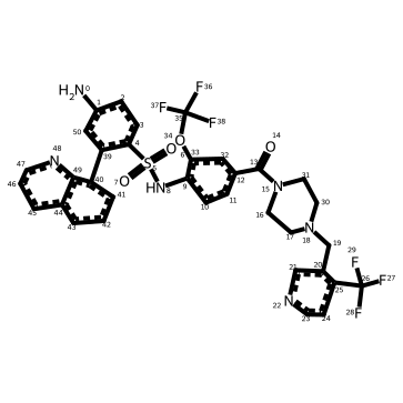 Nc1ccc(S(=O)(=O)Nc2ccc(C(=O)N3CCN(Cc4cnccc4C(F)(F)F)CC3)cc2OC(F)(F)F)c(-c2cccc3cccnc23)c1